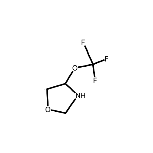 FC(F)(F)OC1[CH]OCN1